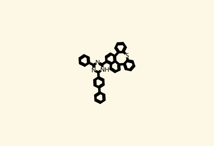 c1ccc(C2=NC(c3ccc(-c4ccccc4)cc3)NC(c3ccc4c5c(cccc35)-c3ccccc3Sc3ccccc3-4)=N2)cc1